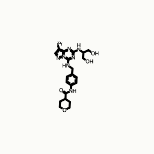 CC(C)c1cnn2c(NCc3ccc(NC(=O)C4CCOCC4)cc3)nc(NC(CO)CO)nc12